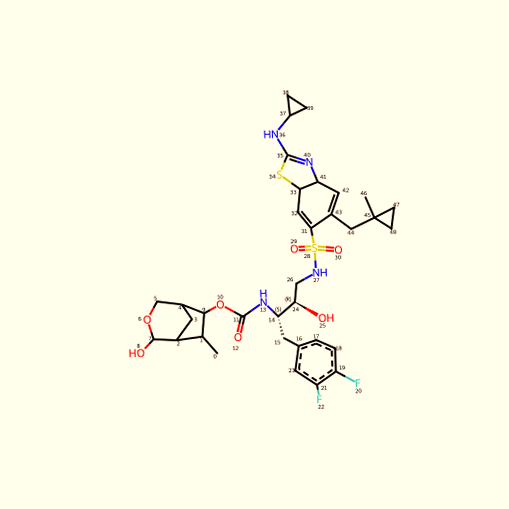 CC1C2CC(COC2O)C1OC(=O)N[C@@H](Cc1ccc(F)c(F)c1)[C@H](O)CNS(=O)(=O)C1=CC2SC(NC3CC3)=NC2C=C1CC1(C)CC1